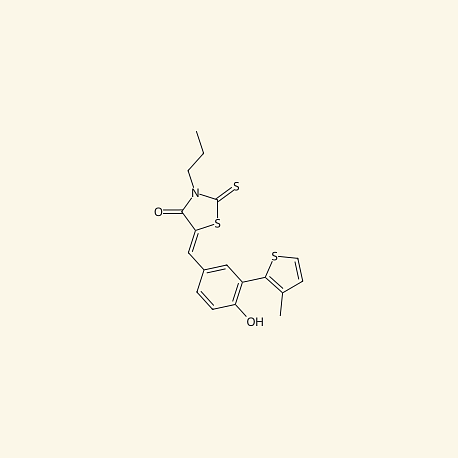 CCCN1C(=O)C(=Cc2ccc(O)c(-c3sccc3C)c2)SC1=S